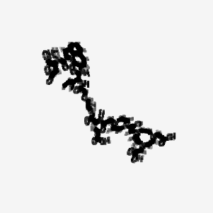 CC[C@H](C)[C@H](NC(=O)COCCNC(=O)[C@@H](CCC(=O)O)NC(=O)CN1CCN(C(=O)CN2CCN(CC(=O)O)CCN(CC(=O)O)CC2)CC1)C(=O)N[C@H]1CCc2cccc3c2N(C1=O)[C@H](C(=O)NC1CC(=O)OC1O)C3